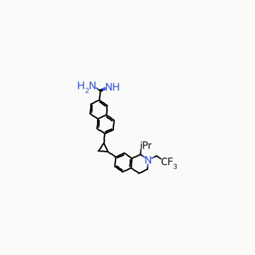 CC(C)C1c2cc(C3CC3c3ccc4cc(C(=N)N)ccc4c3)ccc2CCN1CC(F)(F)F